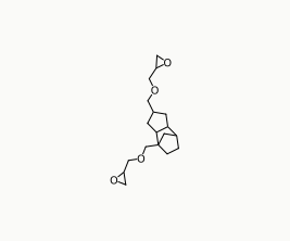 C(OCC1CO1)C1CC2C3CCC(COCC4CO4)(C3)C2C1